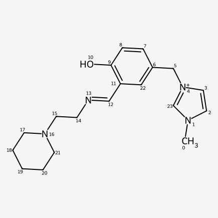 Cn1cc[n+](Cc2ccc(O)c(/C=N/CCN3CCCCC3)c2)c1